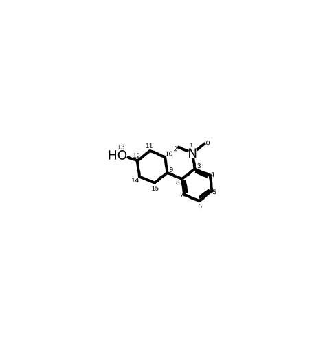 CN(C)c1ccccc1C1CCC(O)CC1